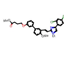 CCn1cc(-c2ccc(Cl)cc2Cl)nc1C=Cc1cc(-c2cccc(OCCCC(=O)OC)c2)ccc1OC